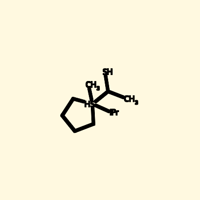 CC(C)[SH]1(C)(C(C)S)CCCC1